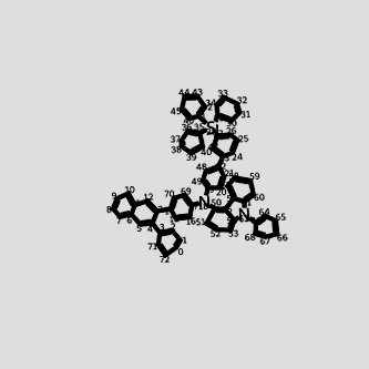 c1ccc(-c2cc3ccccc3cc2-c2ccc(N(c3ccc(-c4cccc([Si](c5ccccc5)(c5ccccc5)c5ccccc5)c4)cc3)c3cccc4c3c3ccccc3n4-c3ccccc3)cc2)cc1